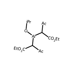 CCOC(=O)[CH](C(C)=O)[Al]([O]C(C)C)[CH](C(C)=O)C(=O)OCC